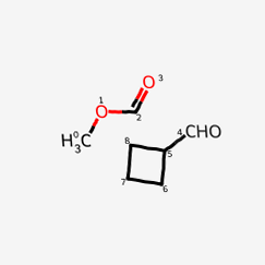 COC=O.O=CC1CCC1